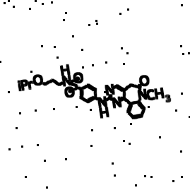 CC(C)OCCCNS(=O)(=O)c1ccc(Nc2ncc3c(n2)-c2ccccc2N(C)C(=O)C3)cc1